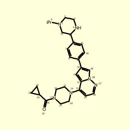 CC(C)N1CCNC(c2ccc(-c3cc4c(N5CCN(C(=O)C6CC6)CC5)ccnn4c3)cc2)C1